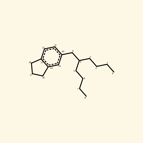 CCCCC(CCCC)Cc1ccc2c(c1)CCC2